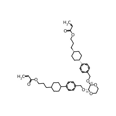 C=CC(=O)OCCCC1CCC(c2ccc(CO[C@H]3OCCO[C@@H]3OCc3ccc([C@H]4CC[C@H](CCCOC(=O)C=C)CC4)cc3)cc2)CC1